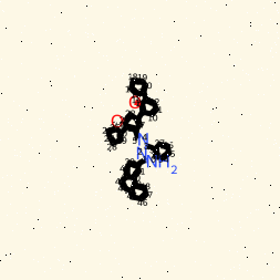 N/C(=N\C(=N/Cc1cc(-c2cccc3c2oc2ccccc23)cc2oc3ccccc3c12)c1ccccc1)c1ccc2ccc3ccccc3c2c1